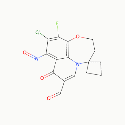 O=Cc1cn2c3c(c(F)c(Cl)c(N=O)c3c1=O)OCCC21CCC1